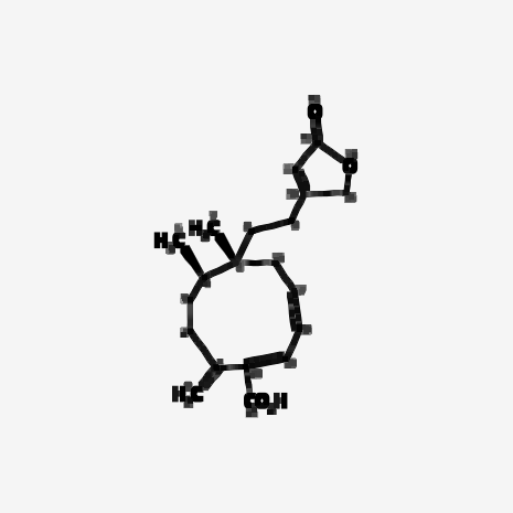 C=C1CC[C@@H](C)[C@](C)(CCC2=CC(=O)OC2)C/C=C\C=C/1C(=O)O